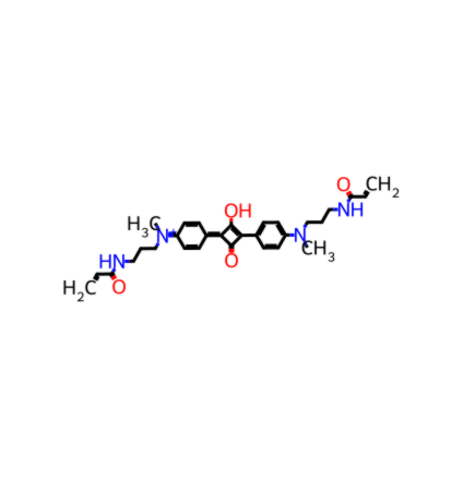 C=CC(=O)NCCCN(C)c1ccc(C2=C(O)C(=C3C=CC(=[N+](C)CCCNC(=O)C=C)C=C3)C2=O)cc1